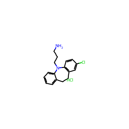 Cl.NCCCN1c2ccccc2CCc2cc(Cl)ccc21